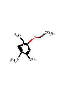 CCOC(=O)COc1cc([N+](=O)[O-])c(C)cc1C